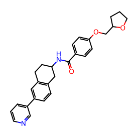 O=C(NC1CCc2cc(-c3cccnc3)ccc2C1)c1ccc(OCC2CCCO2)cc1